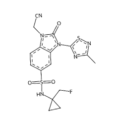 Cc1nsc(-n2c(=O)n(CC#N)c3ccc(S(=O)(=O)NC4(CF)CC4)cc32)n1